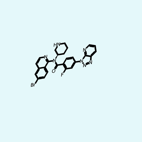 O=C(c1ccc(-n2nnc3cccnc32)cc1F)N(c1nccc2cc(Br)ccc12)[C@@H]1CCCNC1